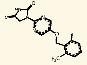 Cc1cccc(C(F)(F)F)c1COc1cnc(N2CC(=O)NC2=O)nc1